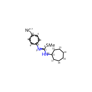 CS/C(=N\c1ccc(C#N)cc1)NC1CCCCCC1